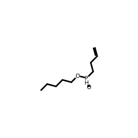 C=CCC[PH](=O)OCCCCC